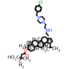 C=C(C)C1CC[C@]2(CCNCCN3CCN(Cc4ccc(Cl)cc4)CC3)CC[C@]3(C)[C@H](CC[C@@H]4[C@@]5(C)CC[C@H](OC(=O)CC(C)(C)C(=O)O)C(C)(C)[C@@H]5CC[C@]43C)[C@@H]12